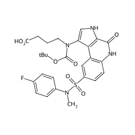 CN(c1ccc(F)cc1)S(=O)(=O)c1ccc2[nH]c(=O)c3[nH]cc(N(CCCC(=O)O)C(=O)OC(C)(C)C)c3c2c1